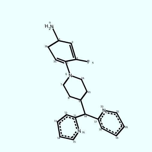 NC1C=C(F)C(N2CCC(C(c3ccccn3)c3ccccn3)CC2)=CC1